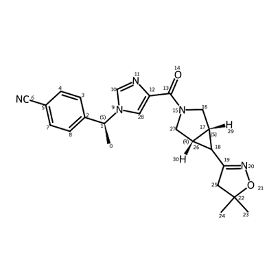 C[C@@H](c1ccc(C#N)cc1)n1cnc(C(=O)N2C[C@@H]3C(C4=NOC(C)(C)C4)[C@@H]3C2)c1